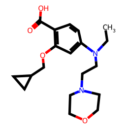 CCN(CCN1CCOCC1)c1ccc(C(=O)O)c(OCC2CC2)c1